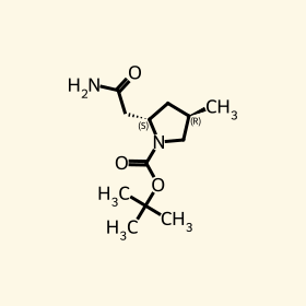 C[C@@H]1C[C@@H](CC(N)=O)N(C(=O)OC(C)(C)C)C1